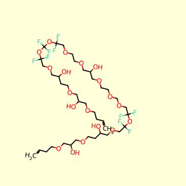 C=CCCOCC(O)COCCC(O)COCC(F)(F)OC(F)(F)COCOCCOCC(O)COCCOCC(F)(F)OC(F)(F)OC(F)(F)COCC(O)CCOCC(O)COCCC=C